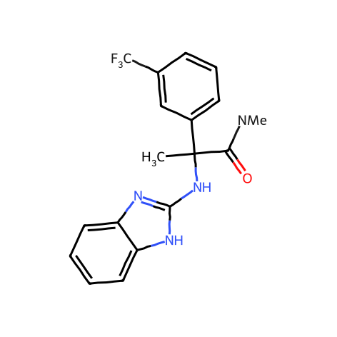 CNC(=O)C(C)(Nc1nc2ccccc2[nH]1)c1cccc(C(F)(F)F)c1